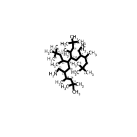 CC(CC(C)(C)C)C(CN)CC(C(C)CC(C)(C)C)C(CC(CN)C(C)CC(C)(C)C)C(C)CC(C)(C)C